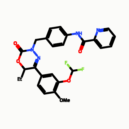 CCC1OC(=O)N(Cc2ccc(NC(=O)c3ccccn3)cc2)N=C1c1ccc(OC)c(OC(F)F)c1